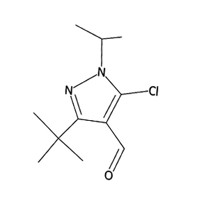 CC(C)n1nc(C(C)(C)C)c(C=O)c1Cl